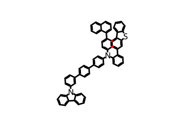 c1cc(-c2ccc(-c3ccc(N(c4ccc(-c5cccc6ccccc56)cc4)c4ccccc4-c4ccc5c(c4)sc4ccccc45)cc3)cc2)cc(-n2c3ccccc3c3ccccc32)c1